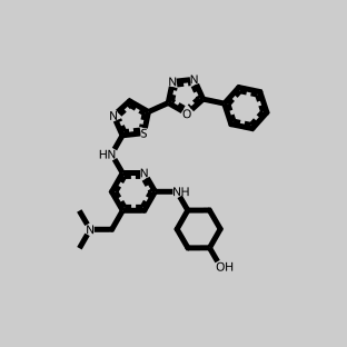 CN(C)Cc1cc(Nc2ncc(-c3nnc(-c4ccccc4)o3)s2)nc(NC2CCC(O)CC2)c1